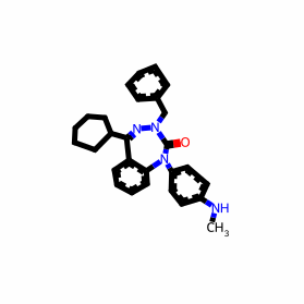 CNc1ccc(N2C(=O)N(Cc3ccccc3)N=C(C3CCCCC3)c3ccccc32)cc1